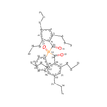 CCCc1cc(CCC)c(C(=O)P(=O)(C(=O)c2c(CCC)cc(CCC)cc2CCC)c2ccccc2)c(CCC)c1